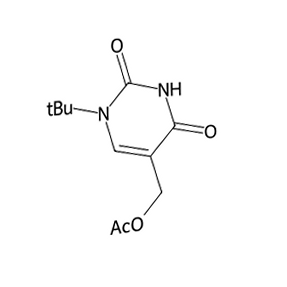 CC(=O)OCc1cn(C(C)(C)C)c(=O)[nH]c1=O